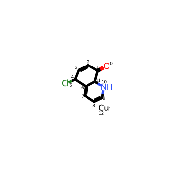 O=C1C=CC(Cl)C2=CC=CNC12.[Cu]